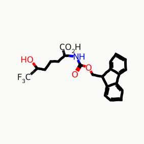 O=C(NC(CCCC(O)C(F)(F)F)C(=O)O)OCC1c2ccccc2-c2ccccc21